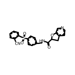 N#Cc1ccccc1S(=O)(=O)c1ccc(CNC(=O)C2Cc3ccncc3O2)cc1